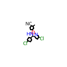 Cc1cc(ON[C@H](c2ccc(Cl)cc2)c2ccc(Cl)cn2)ccc1C#N